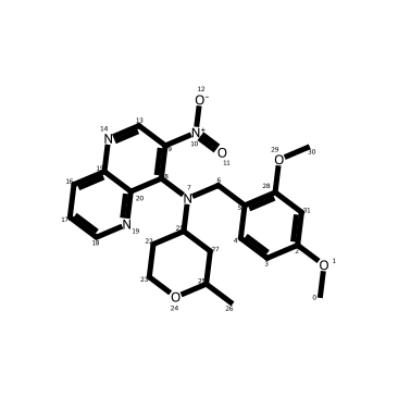 COc1ccc(CN(c2c([N+](=O)[O-])cnc3cccnc23)C2CCOC(C)C2)c(OC)c1